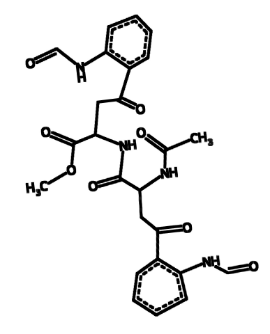 COC(=O)C(CC(=O)c1ccccc1NC=O)NC(=O)C(CC(=O)c1ccccc1NC=O)NC(C)=O